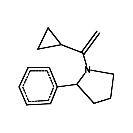 C=C(C1CC1)N1CCCC1c1ccccc1